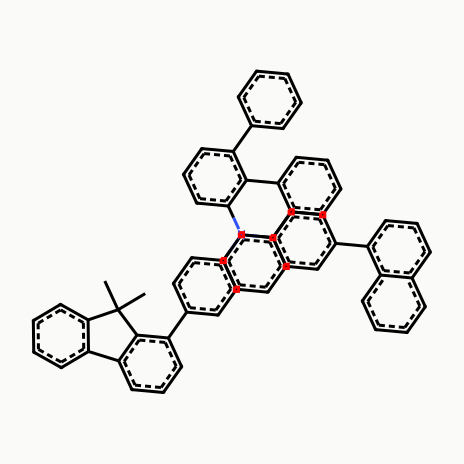 CC1(C)c2ccccc2-c2cccc(-c3ccc(N(c4ccc(-c5cccc6ccccc56)cc4)c4cccc(-c5ccccc5)c4-c4ccccc4-c4ccccc4)cc3)c21